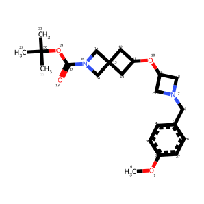 COc1ccc(CN2CC(OC3CC4(C3)CN(C(=O)OC(C)(C)C)C4)C2)cc1